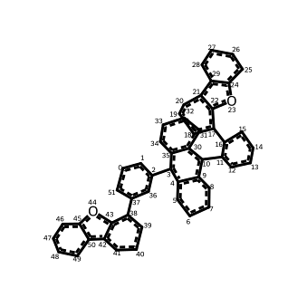 c1cc(-c2c3ccccc3c(-c3ccccc3-c3cccc4c3oc3ccccc34)c3ccccc23)cc(-c2cccc3c2oc2ccccc23)c1